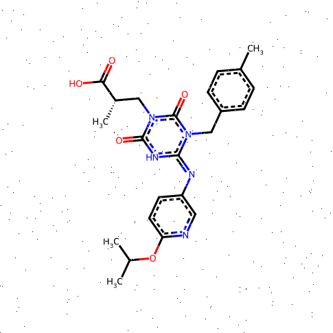 Cc1ccc(Cn2c(=O)n(C[C@H](C)C(=O)O)c(=O)[nH]/c2=N\c2ccc(OC(C)C)nc2)cc1